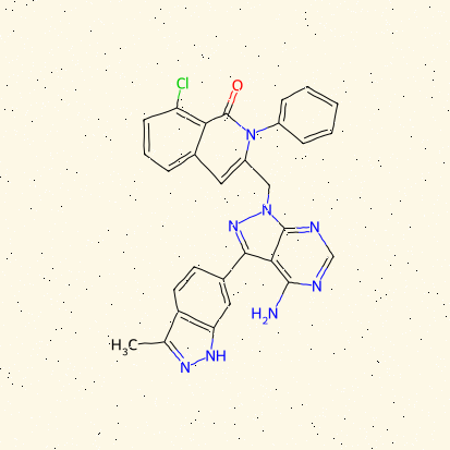 Cc1n[nH]c2cc(-c3nn(Cc4cc5cccc(Cl)c5c(=O)n4-c4ccccc4)c4ncnc(N)c34)ccc12